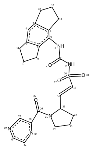 O=C(Nc1c2c(cc3c1CCC3)CCC2)NS(=O)(=O)C=CC1CCCN1C(=O)c1cnccn1